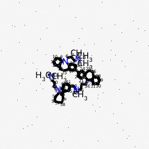 CC(CN(C)C)CN1c2ccccc2CCc2cc(-c3ccc4c(c3)CCc3ccccc3/C4=C/CCN(C)Cc3ccc4c(c3)c3c(n4CCCN(C)C)CCCCC3)ccc21